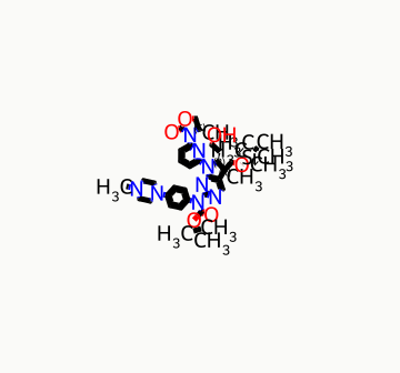 C[C@H]1COC(=O)N1c1cccc(N2c3nc(N(C(=O)OC(C)(C)C)c4ccc(N5CCN(C)CC5)cc4)ncc3[C@@](C)(CO[Si](C)(C)C(C)(C)C)[C@H]2CCO)n1